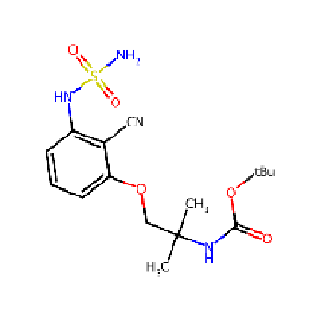 CC(C)(COc1cccc(NS(N)(=O)=O)c1C#N)NC(=O)OC(C)(C)C